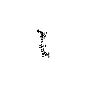 Cc1ncsc1-c1ccc(CNC(=O)C2CCCN2C(=O)C(NC(=O)COCCCCNC(=O)/C=C/c2ccc(N3C(=S)N(c4ccc(C#N)c(C(F)(F)F)c4F)C(=O)C3(C)C)cn2)C(C)(C)C)cc1